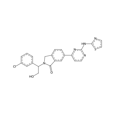 O=C1c2cc(-c3ccnc(Nc4nccs4)n3)ccc2CN1C(CO)c1cccc(Cl)c1